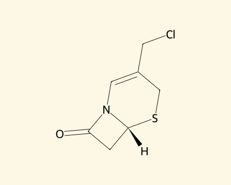 O=C1C[C@H]2SCC(CCl)=CN12